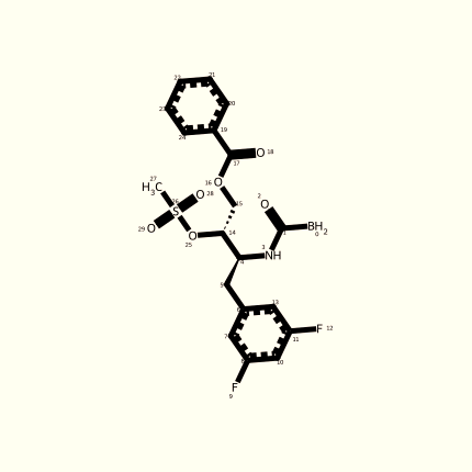 BC(=O)N[C@@H](Cc1cc(F)cc(F)c1)[C@@H](COC(=O)c1ccccc1)OS(C)(=O)=O